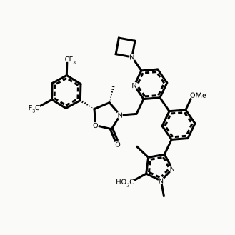 COc1ccc(-c2nn(C)c(C(=O)O)c2C)cc1-c1ccc(N2CCC2)nc1CN1C(=O)O[C@H](c2cc(C(F)(F)F)cc(C(F)(F)F)c2)[C@@H]1C